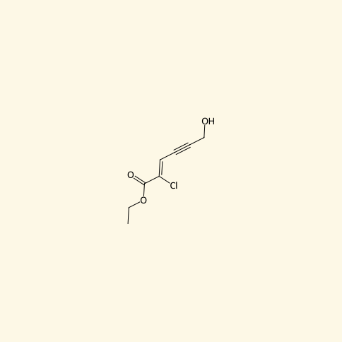 CCOC(=O)/C(Cl)=C/C#CCO